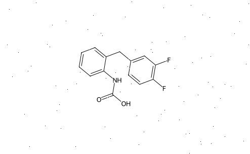 O=C(O)Nc1ccccc1Cc1ccc(F)c(F)c1